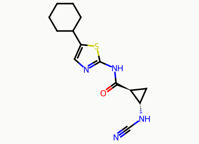 N#CN[C@H]1C[C@@H]1C(=O)Nc1ncc(C2CCCCC2)s1